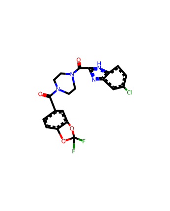 O=C(c1ccc2c(c1)OC(F)(F)O2)N1CCN(C(=O)c2nc3cc(Cl)ccc3[nH]2)CC1